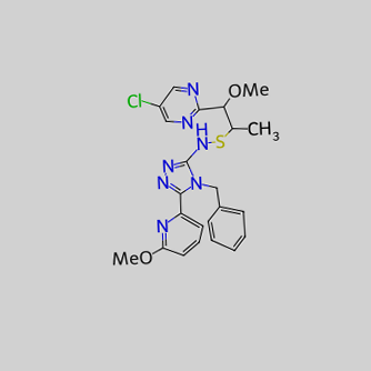 COc1cccc(-c2nnc(NSC(C)C(OC)c3ncc(Cl)cn3)n2Cc2ccccc2)n1